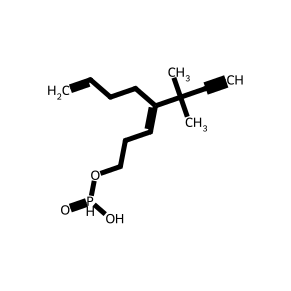 C#CC(C)(C)C(=CCCO[PH](=O)O)CCC=C